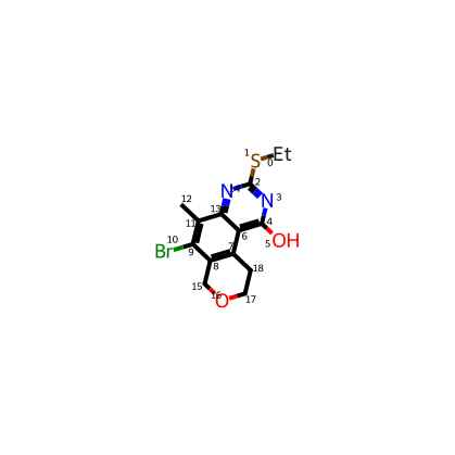 CCSc1nc(O)c2c3c(c(Br)c(C)c2n1)COCC3